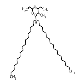 C=CC(=O)OC(CC)C(C)O[SiH](CCCCCCCCCCCCCCCCCC)CCCCCCCCCCCCCCCCCC